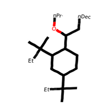 CC[CH]OC(CCCCCCCCCCC)C1CCC(C(C)(C)CC)CC1C(C)(C)CC